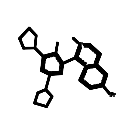 Cc1c(-c2c3ccc(C(C)C)cc3cc[n+]2C)cc(C2CCCC2)cc1C1CCCC1